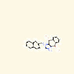 O=C1c2ccccc2C(=O)c2c1ncn2Cc1ccc2ccccc2c1